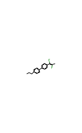 CCCc1ccc(-c2ccc(C(F)=C(C)F)cc2)cc1